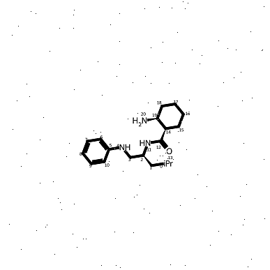 CC(C)C[C@@H](CNc1ccccc1)NC(=O)[C@@H]1CCCC[C@@H]1N